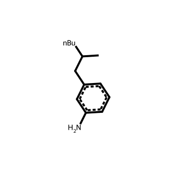 CCCCC(C)Cc1cccc(N)c1